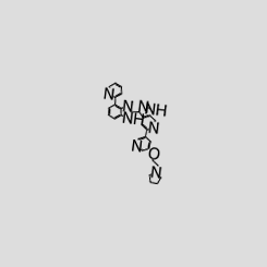 c1ccc(-c2cccc3[nH]c(-c4n[nH]c5cnc(-c6cncc(OCCN7CCCC7)c6)cc45)nc23)nc1